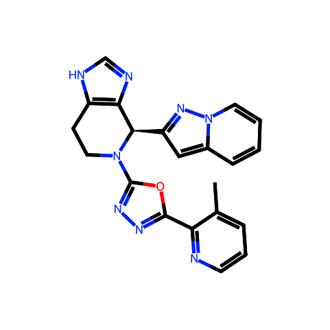 Cc1cccnc1-c1nnc(N2CCc3[nH]cnc3[C@H]2c2cc3ccccn3n2)o1